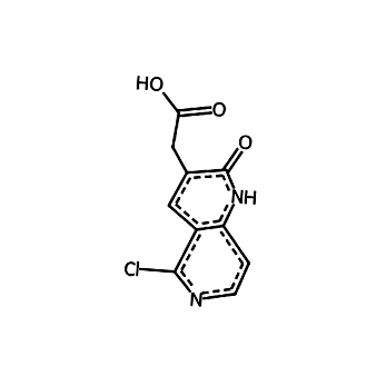 O=C(O)Cc1cc2c(Cl)nccc2[nH]c1=O